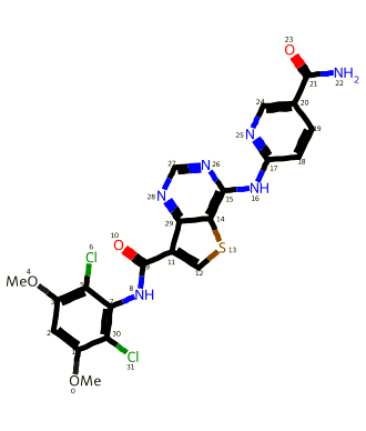 COc1cc(OC)c(Cl)c(NC(=O)c2csc3c(Nc4ccc(C(N)=O)cn4)ncnc23)c1Cl